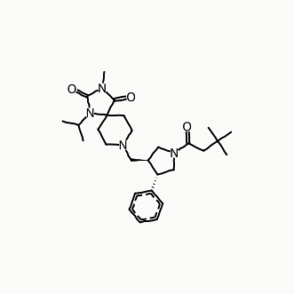 CC(C)N1C(=O)N(C)C(=O)C12CCN(C[C@H]1CN(C(=O)CC(C)(C)C)C[C@@H]1c1ccccc1)CC2